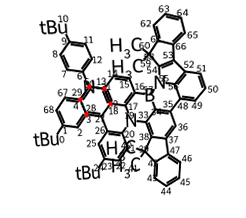 CC(C)(C)c1ccc(N(c2ccc(C(C)(C)C)cc2)c2ccc3c(c2)N(c2ccc(C(C)(C)C)cc2-c2ccccc2)c2c4c(cc5c2C(C)(C)c2ccccc2-5)-c2cccc5c6c(n(c25)B34)C(C)(C)c2ccccc2-6)cc1